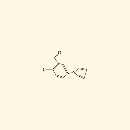 O=[C]c1cc(-n2cccc2)ccc1Cl